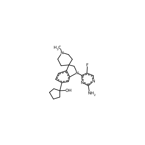 CN1CCC2(CC1)CN(c1nc(N)ncc1F)c1cc(C3(O)CCCC3)ccc12